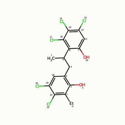 CCc1c(O)c(CC(C)c2c(O)cc(Cl)c(Cl)c2Cl)cc(Cl)c1Cl